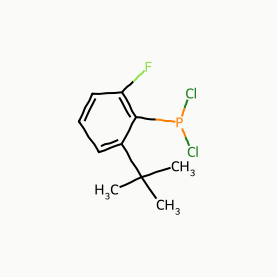 CC(C)(C)c1cccc(F)c1P(Cl)Cl